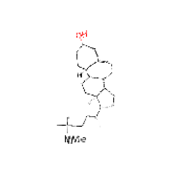 CNC(C)(C)CC[C@@H](C)[C@H]1CCC2C3CC=C4C[C@@H](O)CC[C@@H]4C3CC[C@@]21C